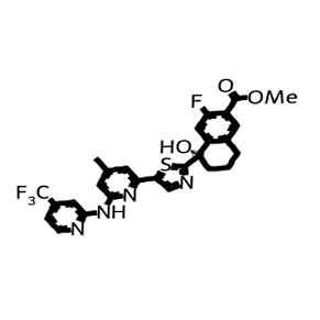 COC(=O)c1cc2c(cc1F)[C@](O)(c1ncc(-c3cc(C)cc(Nc4cc(C(F)(F)F)ccn4)n3)s1)CCC2